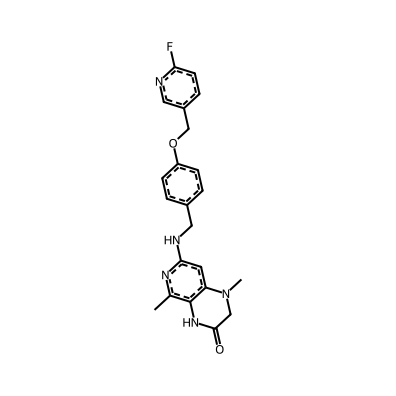 Cc1nc(NCc2ccc(OCc3ccc(F)nc3)cc2)cc2c1NC(=O)CN2C